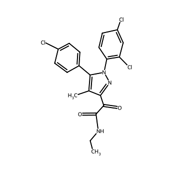 CCNC(=O)C(=O)c1nn(-c2ccc(Cl)cc2Cl)c(-c2ccc(Cl)cc2)c1C